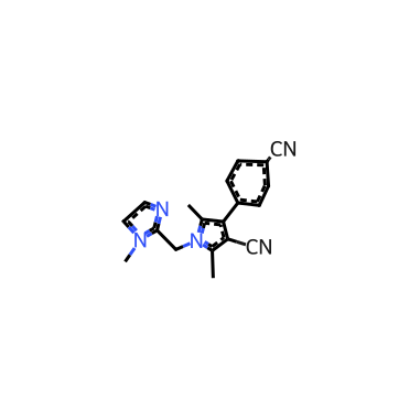 Cc1c(C#N)c(-c2ccc(C#N)cc2)c(C)n1Cc1nccn1C